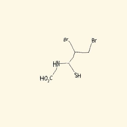 O=C(O)NC(S)C(Br)CBr